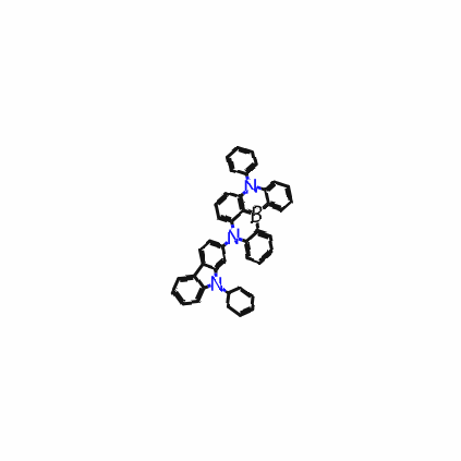 C1=CCC(n2c3ccccc3c3ccc(N4c5ccccc5B5c6ccccc6N(c6ccccc6)c6cccc4c65)cc32)C=C1